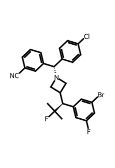 CC(C)(F)[C@H](c1cc(F)cc(Br)c1)C1CN([C@@H](c2ccc(Cl)cc2)c2cccc(C#N)c2)C1